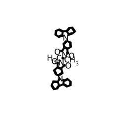 CC(C)(N1C(=O)c2ccc(-n3c4ccccc4c4ccccc43)cc2C1=O)N1C(=O)c2ccc(-n3c4ccccc4c4ccccc43)cc2C1=O